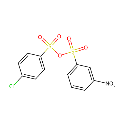 O=[N+]([O-])c1cccc(S(=O)(=O)OS(=O)(=O)c2ccc(Cl)cc2)c1